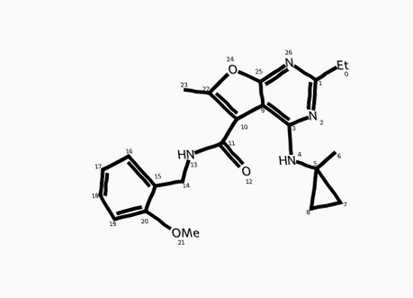 CCc1nc(NC2(C)CC2)c2c(C(=O)NCc3ccccc3OC)c(C)oc2n1